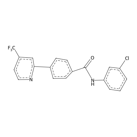 O=C(Nc1cccc(Cl)c1)c1ccc(-c2cc(C(F)(F)F)ccn2)cc1